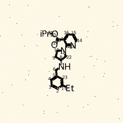 CCc1cccc(CN[C@H]2CCN(c3ncccc3C(=O)OC(C)C)C2)c1